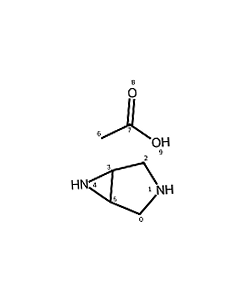 C1NCC2NC12.CC(=O)O